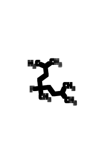 CC(C)CCC(C)(F)CCC(C)C